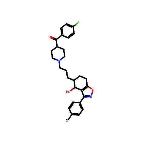 O=C(c1ccc(F)cc1)C1CCN(CCCC2CCc3onc(-c4ccc(Cl)cc4)c3C2O)CC1